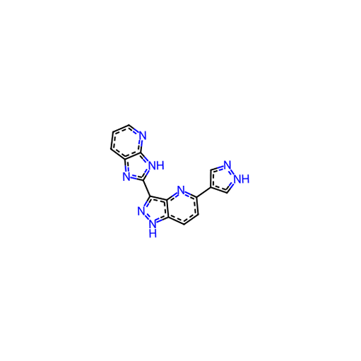 c1cnc2[nH]c(-c3n[nH]c4ccc(-c5cn[nH]c5)nc34)nc2c1